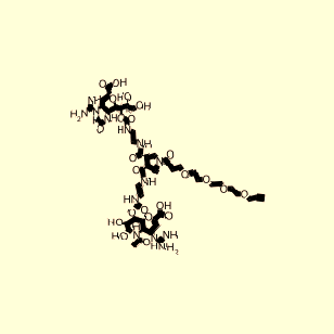 C#CCOCCOCCOCCOCCC(=O)N1C[C@@H](C(=O)NCCNC(=O)O[C@@H]([C@@H]2OC(C(=O)O)=C[C@H](NC(=N)N)[C@H]2NC(C)=O)[C@H](O)CO)[C@H](C(=O)NCCNC(=O)O[C@@H]([C@@H]2OC(C(=O)O)=C[C@H](NC(=N)N)[C@H]2NC(C)=O)[C@H](O)CO)C1